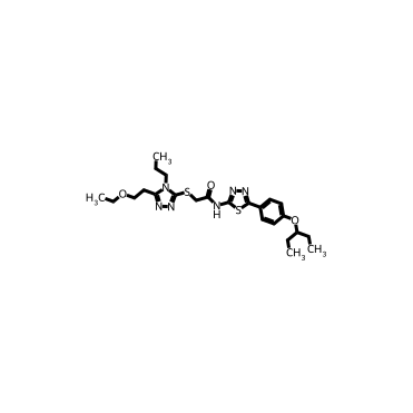 CCCn1c(CCOCC)nnc1SCC(=O)Nc1nnc(-c2ccc(OC(CC)CC)cc2)s1